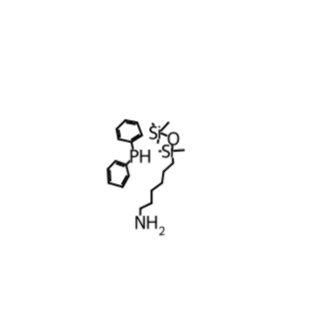 C[Si](C)(C)O[Si](C)(C)CCCCCCN.c1ccc(Pc2ccccc2)cc1